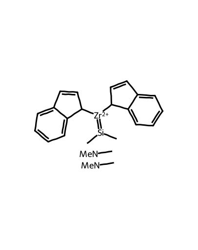 C[N-]C.C[N-]C.C[Si](C)=[Zr+2]([CH]1C=Cc2ccccc21)[CH]1C=Cc2ccccc21